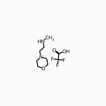 CNCCN1CCOCC1.O=C(O)C(F)(F)F